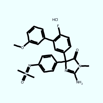 COc1cccc(-c2cc(C3(c4ccc(N=S(C)(C)=O)cc4)N=C(N)N(C)C3=O)ccc2F)c1.Cl